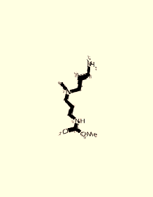 COC(=O)NCCCN(C)CCCN